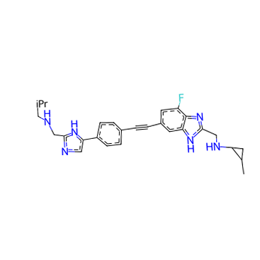 CC(C)CNCc1ncc(-c2ccc(C#Cc3cc(F)c4nc(CNC5CC5C)[nH]c4c3)cc2)[nH]1